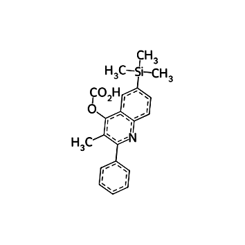 Cc1c(-c2ccccc2)nc2ccc([Si](C)(C)C)cc2c1OC(=O)O